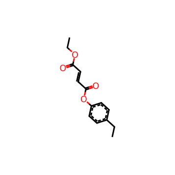 CCOC(=O)C=CC(=O)Oc1ccc(CC)cc1